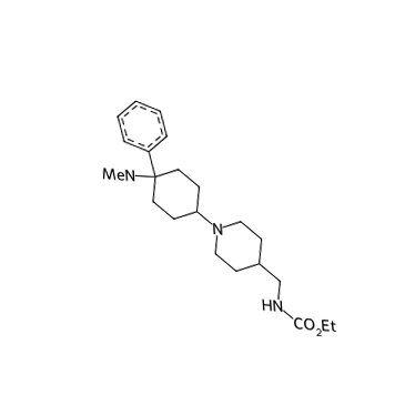 CCOC(=O)NCC1CCN(C2CCC(NC)(c3ccccc3)CC2)CC1